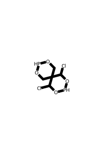 ClC1OPOC(Cl)C12COPOC2